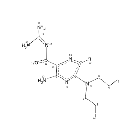 CCCN(CCC)c1nc(N)c(C(=O)N=C(N)N)nc1Cl